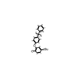 CC(C)(C)c1ccc([O])c(Oc2ccc(C(C)(C)c3ccccc3)cc2)c1